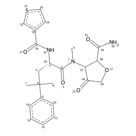 CN(C(=O)[C@H](CC(C)(C)c1ccccc1)NC(=O)c1ccsc1)C1C(=O)COC1C(N)=O